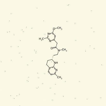 COc1cc(CC(=O)N(C)CC[C@H]2CCc3ccc(C)nc3N2)nc(C)n1